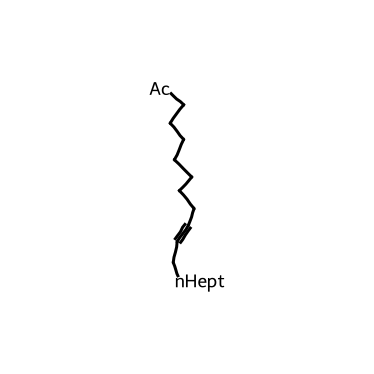 CCCCCCCCC#CCCCCCCCC(C)=O